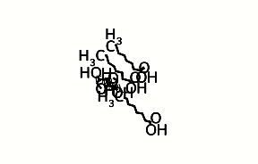 CCCCCCCC(=O)O.CCCCCCCC(=O)O.CCCCCCCC(=O)O.O[C@@H]1CO[C@H]2[C@@H]1OC[C@@H]2O